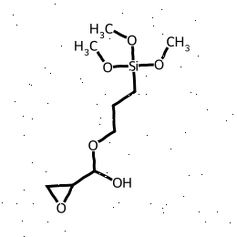 CO[Si](CCCOC(O)C1CO1)(OC)OC